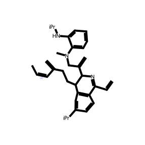 C=CC1=NC(C(=C)CN(C)c2ccccc2NC(C)C)C(CCC(=C)/C=C\C)c2cc(C(C)C)ccc21